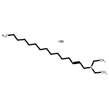 Br.CCCCCCCCCCCCC=CCN(CC)CC